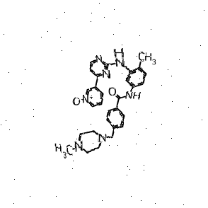 Cc1ccc(NC(=O)c2ccc(CN3CCN(C)CC3)cc2)cc1Nc1nccc(-c2ccc[n+]([O-])c2)n1